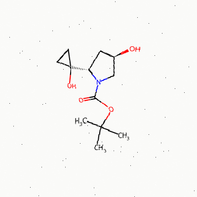 CC(C)(C)OC(=O)N1C[C@H](O)C[C@H]1C1(O)CC1